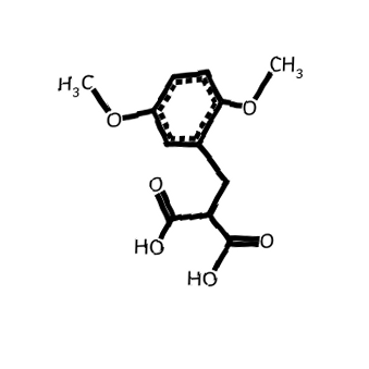 COc1ccc(OC)c(CC(C(=O)O)C(=O)O)c1